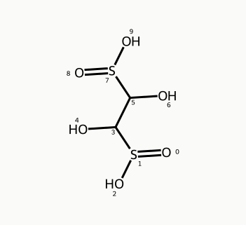 O=S(O)C(O)C(O)S(=O)O